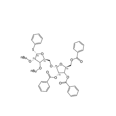 CCCCOC1[C@H](CO[C@@H]2O[C@@H](COC(=O)c3ccccc3)C(OC(=O)c3ccccc3)[C@@H]2OC(=O)c2ccccc2)O[C@@H](Sc2ccccc2)[C@H]1OCCCC